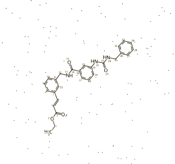 CCOC(=O)C=Cc1cccc(CNC(=O)c2cccc(NC(=O)NCc3ccccc3)c2)c1